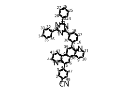 N#Cc1ccc(-c2cc3c4cccnc4c(-c4cccc(-c5nc(-c6ccccc6)nc(-c6ccccc6)n5)c4)cc3c3cccnc23)cc1